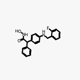 O=C(NO)C(c1ccccc1)c1ccc(NCc2ccccc2F)cc1